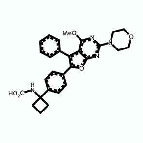 COc1nc(N2CCOCC2)nc2oc(-c3ccc(C4(NC(=O)O)CCC4)cc3)c(-c3ccccc3)c12